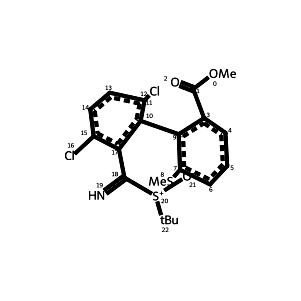 COC(=O)c1cccc(SC)c1-c1c(Cl)ccc(Cl)c1C(=N)[S+]([O-])C(C)(C)C